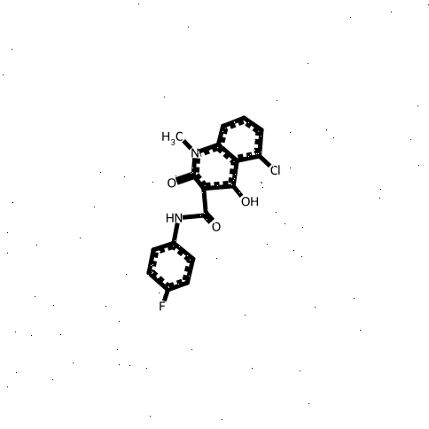 Cn1c(=O)c(C(=O)Nc2ccc(F)cc2)c(O)c2c(Cl)cccc21